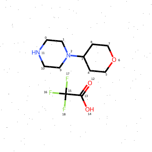 C1CN(C2CCOCC2)CCN1.O=C(O)C(F)(F)F